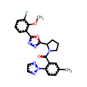 COc1c(F)cccc1-c1nnc(C2CCCN2C(=O)c2cc(C)ccc2-n2nccn2)o1